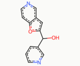 OC(c1cccnc1)c1cc2cnccc2o1